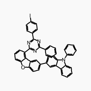 Ic1ccc(-c2nc(-c3ccccc3)nc(-c3cccc4oc5ccc(-c6ccc7c(c6)c6ccccc6n7-c6ccccc6)cc5c34)n2)cc1